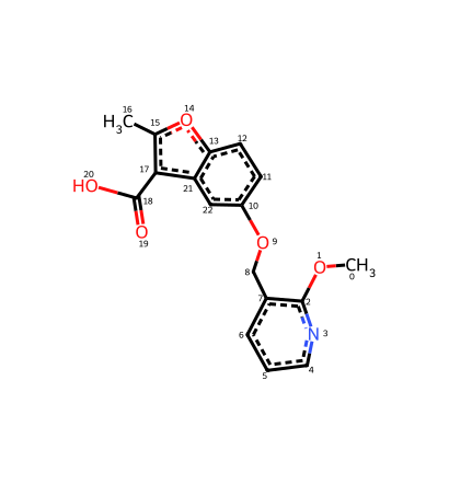 COc1ncccc1COc1ccc2oc(C)c(C(=O)O)c2c1